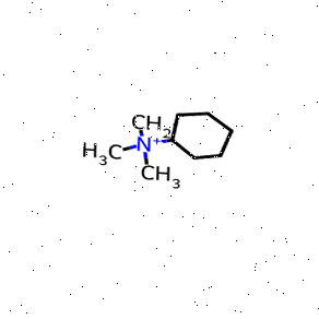 [CH2][N+](C)(C)C1CCCCC1